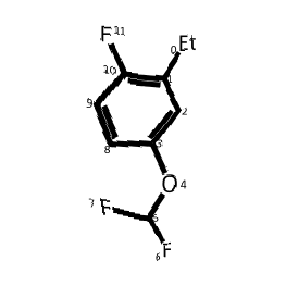 [CH2]Cc1cc(OC(F)F)ccc1F